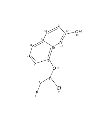 CCC(CF)Oc1cccc2ccc(O)nc12